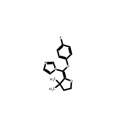 CC1(C)CCOC1=C(Oc1ccc(F)cc1)n1ccnc1